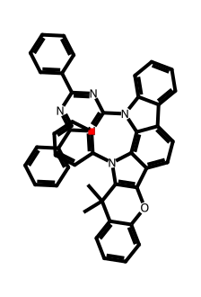 CC1(C)c2ccccc2Oc2c1n(-c1ccccc1)c1c2ccc2c3ccccc3n(-c3nc(-c4ccccc4)nc(-c4ccccc4)n3)c21